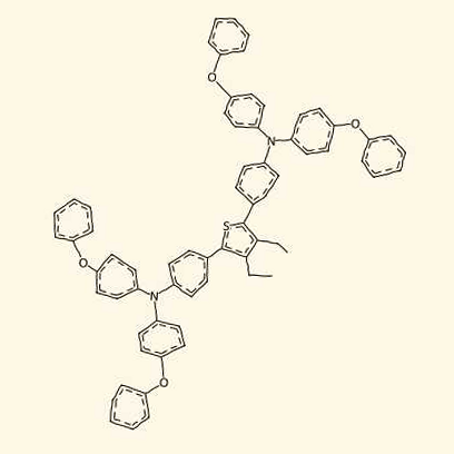 CCc1c(-c2ccc(N(c3ccc(Oc4ccccc4)cc3)c3ccc(Oc4ccccc4)cc3)cc2)sc(-c2ccc(N(c3ccc(Oc4ccccc4)cc3)c3ccc(Oc4ccccc4)cc3)cc2)c1CC